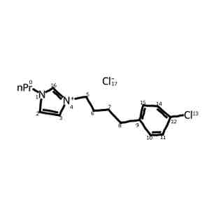 CCCn1cc[n+](CCCCc2ccc(Cl)cc2)c1.[Cl-]